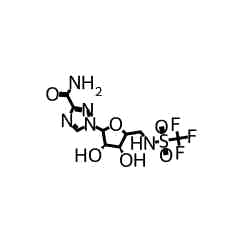 NC(=O)c1ncn(C2OC(CNS(=O)(=O)C(F)(F)F)[C@@H](O)[C@H]2O)n1